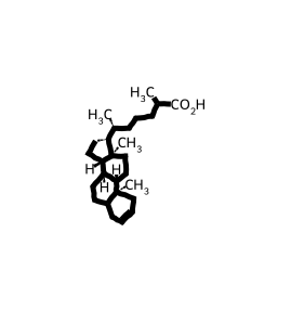 CC(CCC[C@@H](C)[C@H]1CC[C@H]2[C@@H]3CCC4CC=CC[C@]4(C)[C@H]3CC[C@]12C)C(=O)O